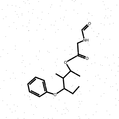 CCC(Oc1ccccc1)C(C)C(C)OC(=O)CNC=O